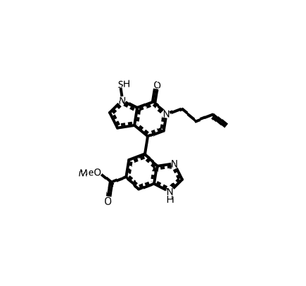 C=CCCn1cc(-c2cc(C(=O)OC)cc3[nH]cnc23)c2ccn(S)c2c1=O